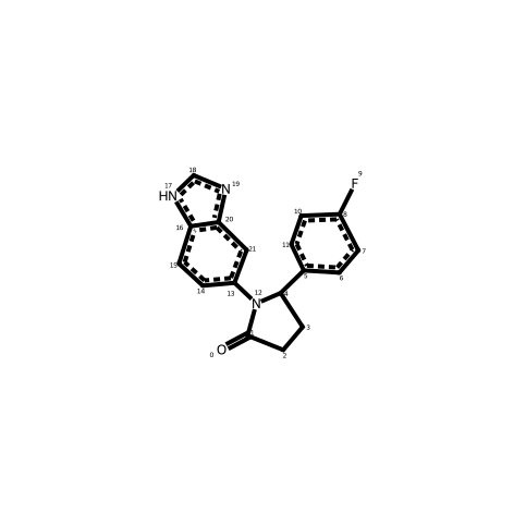 O=C1CCC(c2ccc(F)cc2)N1c1ccc2[nH]cnc2c1